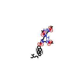 CCC(CCC(C)[C@H]1CC[C@H]2[C@@H]3CC=C4C[C@@H](OC(=O)CN(CCCCN(CCCNC(=O)OC(C)(C)C)C(=O)OC(C)(C)C)CCCNC(=O)OC(C)(C)C)CC[C@]4(C)[C@H]3CC[C@]12C)C(C)C